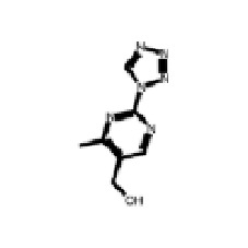 Cc1nc(-n2cnnn2)ncc1CO